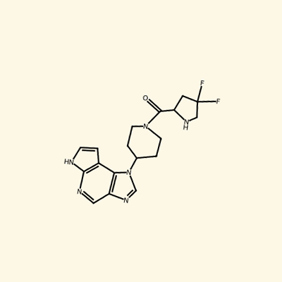 O=C(C1CC(F)(F)CN1)N1CCC(n2cnc3cnc4[nH]ccc4c32)CC1